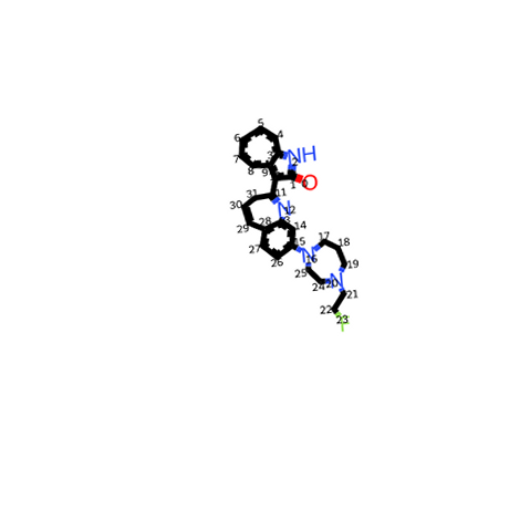 O=c1[nH]c2cccccc-2c1C1=Nc2cc(N3CCCN(CCF)CC3)ccc2C=CC1